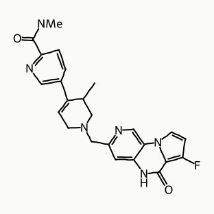 CNC(=O)c1ccc(C2=CCN(Cc3cc4[nH]c(=O)c5c(F)ccn5c4cn3)CC2C)cn1